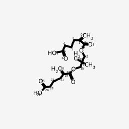 C=C(CCCC(=O)O)C(=O)OCC(C)(C)COC(=O)C(=C)CCCC(=O)O